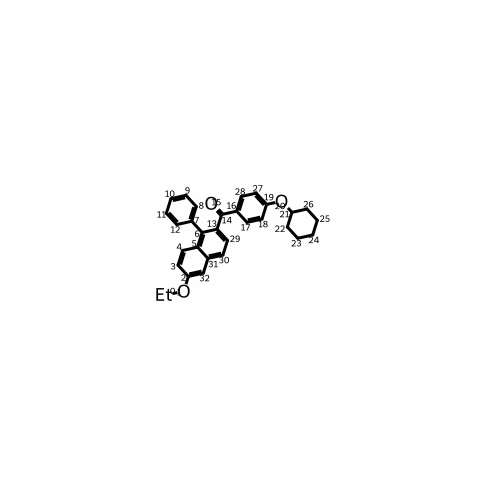 CCOc1ccc2c(-c3ccccc3)c(C(=O)c3ccc(OC4CCCCC4)cc3)ccc2c1